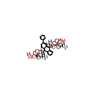 CC(C)(O)C(C)(C)OBc1c2ccccc2c(BOC(C)(C)C(C)(C)O)c2cc(-c3ccccc3)ccc12